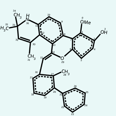 COc1c(O)ccc2c1-c1ccc3c(c1/C(=C/c1cccc(-c4ccccc4)c1C)O2)C(C)=CC(C)(C)N3